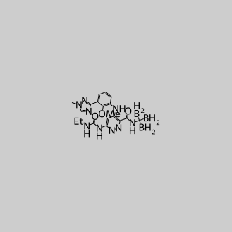 BC(B)(B)NC(=O)c1nnc(NC(=O)NCC)cc1Nc1cccc(-c2ncn(C)n2)c1OC